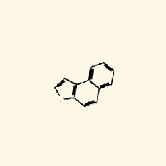 [c]1cc2c(ccc3ccccc32)s1